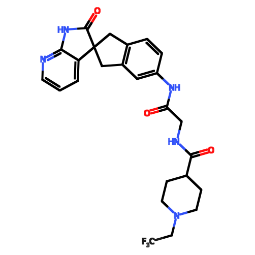 O=C(CNC(=O)C1CCN(CC(F)(F)F)CC1)Nc1ccc2c(c1)CC1(C2)C(=O)Nc2ncccc21